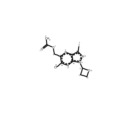 CC(=O)OCc1nc2c(I)nn(C3CCO3)c2nc1Cl